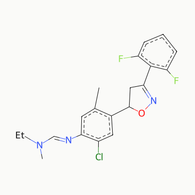 CCN(C)C=Nc1cc(C)c(C2CC(c3c(F)cccc3F)=NO2)cc1Cl